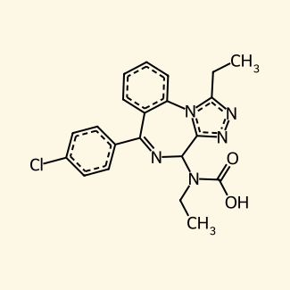 CCc1nnc2n1-c1ccccc1C(c1ccc(Cl)cc1)=NC2N(CC)C(=O)O